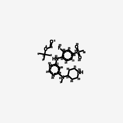 CC(C)(C)OC=O.CN(c1cc(Nc2ccc(S(C)(=O)=O)cc2F)ncn1)C1CCNCC1